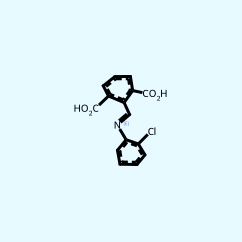 O=C(O)c1cccc(C(=O)O)c1/C=N/c1ccccc1Cl